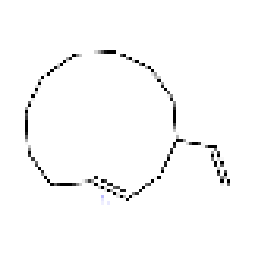 C=CC1C/C=C/CCCCCCCC1